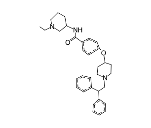 CCN1CCCC(NC(=O)c2ccc(OC3CCN(CC(c4ccccc4)c4ccccc4)CC3)cc2)C1